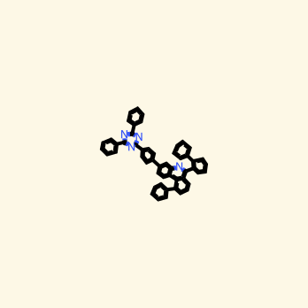 c1ccc(-c2nc(-c3ccccc3)nc(-c3ccc(-c4ccc5c(c4)nc(-c4ccccc4-c4ccccc4)c4cccc(-c6ccccc6)c45)cc3)n2)cc1